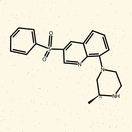 C[C@H]1CN(c2cccc3cc(S(=O)(=O)c4ccccc4)cnc23)CCN1